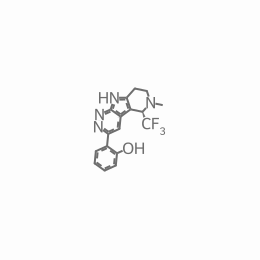 CN1CCc2[nH]c3nnc(-c4ccccc4O)cc3c2[C@@H]1C(F)(F)F